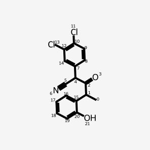 CC(C(=O)C(C#N)c1ccc(Cl)c(Cl)c1)c1ccccc1O